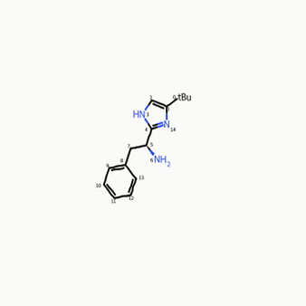 CC(C)(C)c1c[nH]c([C@@H](N)Cc2ccccc2)n1